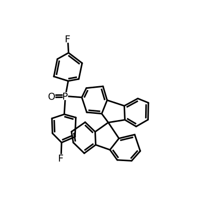 O=P(c1ccc(F)cc1)(c1ccc(F)cc1)c1ccc2c(c1)C1(c3ccccc3-c3ccccc31)c1ccccc1-2